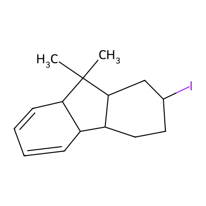 CC1(C)C2C=CC=CC2C2CCC(I)CC21